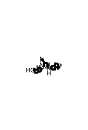 CN1CCc2cc(Nc3ncc(C#N)c(Nc4ccc5c(n4)C(C)(O)CC5)n3)ccc2C1(C)C